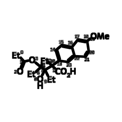 CCC(=O)OC(CC)(CC)C(O)(CC)C(C)(C(=O)O)c1ccc2cc(OC)ccc2c1